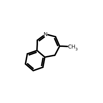 CC1=CN=Cc2ccccc2C1